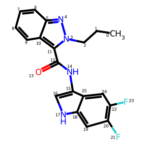 CCCn1nc2ccccc2c1C(=O)Nc1c[nH]c2cc(F)c(F)cc12